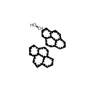 CO.c1cc2ccc3cccc4ccc(c1)c2c34.c1cc2ccc3cccc4ccc(c1)c2c34